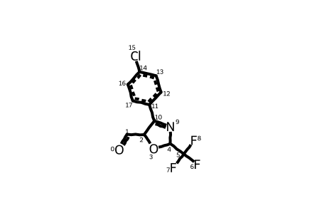 O=CC1OC(C(F)(F)F)N=C1c1ccc(Cl)cc1